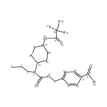 CCCN(C(=O)OCc1ccc([N+](=O)[O-])cc1)C1CCN(OC(=O)C(F)(F)F)CC1